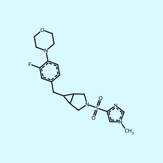 Cn1cnc(S(=O)(=O)N2CC3C([CH]c4ccc(N5CCOCC5)c(F)c4)C3C2)c1